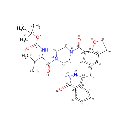 CC(C)C(NC(=O)OC(C)(C)C)C(=O)N1CCN(C(=O)c2cc(Cc3n[nH]c(=O)c4ccccc34)cc3c2OCC3)CC1